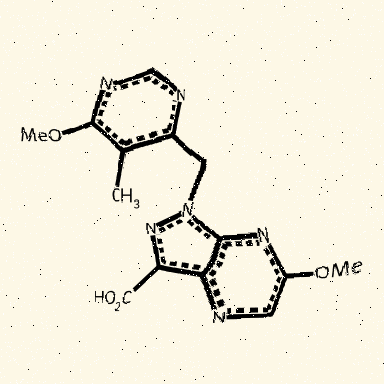 COc1cnc2c(C(=O)O)nn(Cc3ncnc(OC)c3C)c2n1